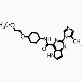 COCCOC1CCC(NC(=O)c2nc(-n3cncc3C)nc3cc[nH]c23)CC1